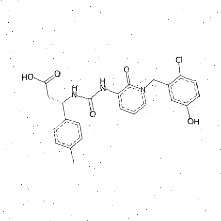 Cc1ccc([C@H](CC(=O)O)NC(=O)Nc2cccn(Cc3cc(O)ccc3Cl)c2=O)cc1